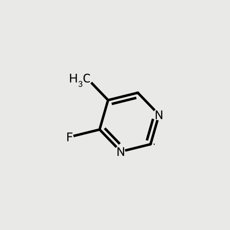 Cc1cn[c]nc1F